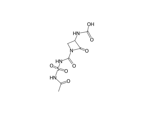 CC(=O)NS(=O)(=O)NC(=O)N1CC(NC(=O)O)C1=O